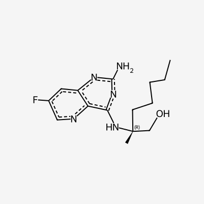 CCCCC[C@](C)(CO)Nc1nc(N)nc2cc(F)cnc12